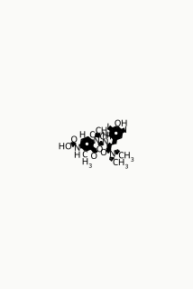 CCN(CC)C(=O)[C@H](Cc1cc(I)c(O)c(I)c1)NC1OC(=O)c2c(ccc(NC(=O)O)c2C)N1C(C)(C)C